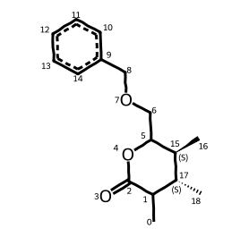 CC1C(=O)OC(COCc2ccccc2)[C@@H](C)[C@@H]1C